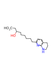 O=C(O)CC(O)CCCCCCc1ccc2c(n1)NCCC2